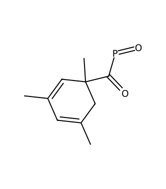 CC1=CC(C)(C(=O)P=O)CC(C)=C1